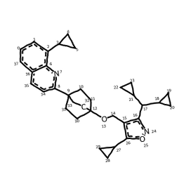 c1cc(C2CC2)c2nc(C34CCC(OCc5c(C(C6CC6)C6CC6)noc5C5CC5)(CC3)CC4)ccc2c1